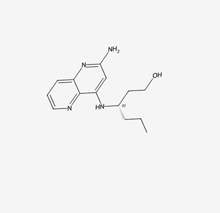 CCC[C@@H](CCO)Nc1cc(N)nc2cccnc12